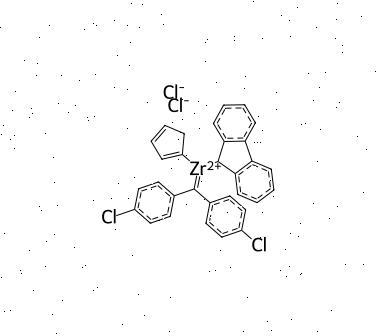 Clc1ccc([C](c2ccc(Cl)cc2)=[Zr+2]([C]2=CC=CC2)[CH]2c3ccccc3-c3ccccc32)cc1.[Cl-].[Cl-]